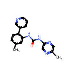 Cc1ccc(-c2cccnc2)c(NC(=O)Nc2cnc(C)cn2)c1